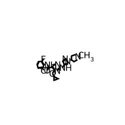 CN1CCC(n2cc(Nc3ncc(C(=O)Nc4c(F)cccc4Cl)c(OC4CC4)n3)cn2)CC1